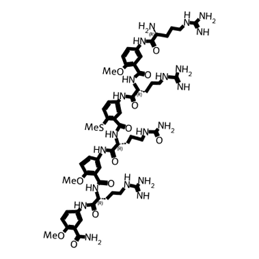 COc1ccc(NC(=O)[C@@H](CCCNC(=N)N)NC(=O)c2cc(NC(=O)[C@@H](CCCNC(N)=O)NC(=O)c3cc(NC(=O)[C@@H](CCCNC(=N)N)NC(=O)c4cc(NC(=O)[C@H](N)CCCNC(=N)N)ccc4OC)ccc3SC)ccc2OC)cc1C(N)=O